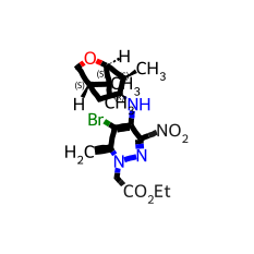 C=C1C(Br)=C(N[C@@H]2C[C@@H]3CO[C@@H]([C@H]2C)C3(C)C)C([N+](=O)[O-])=NN1CC(=O)OCC